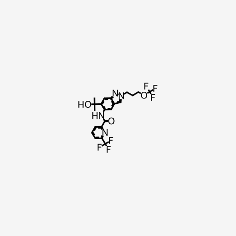 CC(C)(O)c1cc2nn(CCCOC(F)(F)F)cc2cc1NC(=O)c1cccc(C(F)(F)F)n1